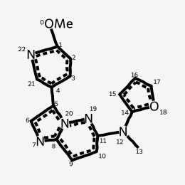 COc1ccc(-c2cnc3ccc(N(C)c4ccco4)nn23)cn1